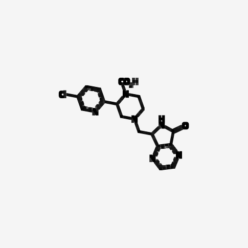 O=C1NC(CN2CCN(C(=O)O)C(c3ccc(Cl)cn3)C2)c2nccnc21